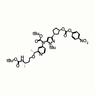 C[C@@H](CCO[C@H](C)c1cc(N(C(=O)OC(C)(C)C)c2cc([C@H]3CC[C@@H](OC(=O)Oc4ccc([N+](=O)[O-])cc4)C3)nn2C(C)(C)C)ccn1)NC(=O)OC(C)(C)C